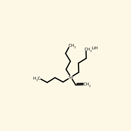 C=[CH][Sn]([CH2]CCC)([CH2]CCC)[CH2]CCC.[LiH]